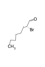 CCCCC[CH][C@@H](Br)C=O